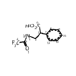 O=C(O)C(CNC(=O)C(F)(F)F)c1ccccc1